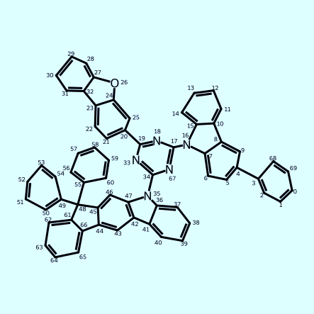 c1ccc(-c2ccc3c(c2)c2ccccc2n3-c2nc(-c3ccc4c(c3)oc3ccccc34)nc(-n3c4ccccc4c4cc5c(cc43)C(c3ccccc3)(c3ccccc3)c3ccccc3-5)n2)cc1